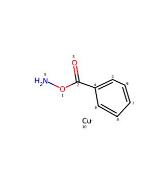 NOC(=O)c1ccccc1.[Cu]